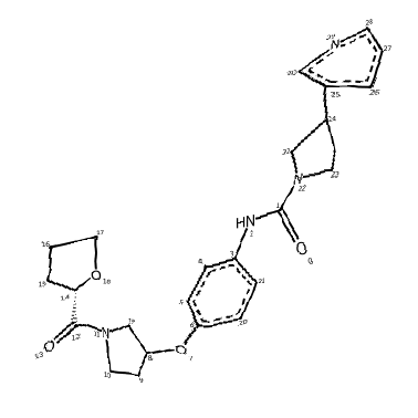 O=C(Nc1ccc(OC2CCN(C(=O)[C@@H]3CCCO3)C2)cc1)N1CC(c2cccnc2)C1